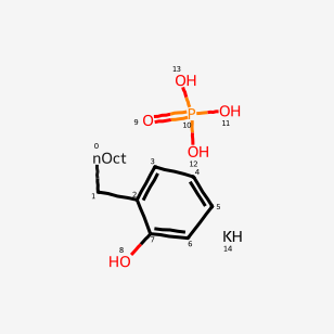 CCCCCCCCCc1ccccc1O.O=P(O)(O)O.[KH]